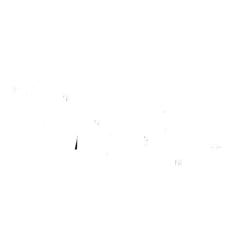 C[C@H](NC(=O)CNC(=O)[C@@H](N)CO)C(=O)N1CCC[C@H]1C(=O)O